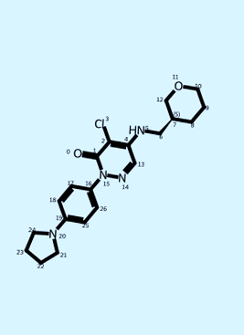 O=c1c(Cl)c(NC[C@@H]2CCCOC2)cnn1-c1ccc(N2CCCC2)cc1